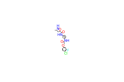 CC1CC(C(=O)NC23CCC(NC(=O)COc4ccc(Cl)c(F)c4)(C2)C3)ON1